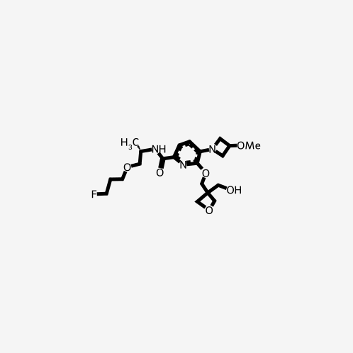 COC1CN(c2ccc(C(=O)N[C@@H](C)COCCCF)nc2OCC2(CO)COC2)C1